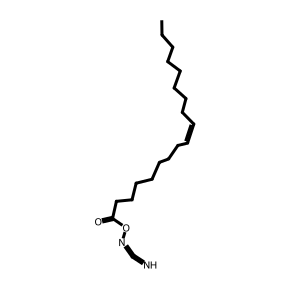 CCCCCCCC/C=C\CCCCCCCC(=O)ON=C=N